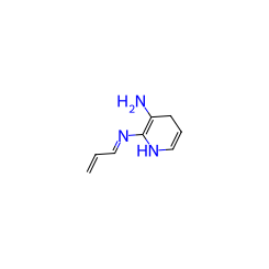 C=CC=NC1=C(N)CC=CN1